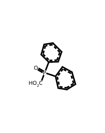 O=C(O)P(=O)(c1ccccc1)c1ccccc1